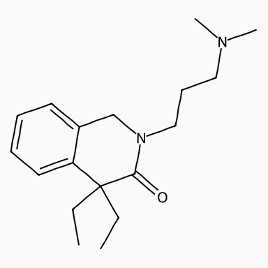 CCC1(CC)C(=O)N(CCCN(C)C)Cc2ccccc21